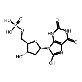 O=c1[nH]c(=O)c2nc(O)n([C@H]3C[C@H](O)[C@@H](COP(=O)(O)O)O3)c2[nH]1